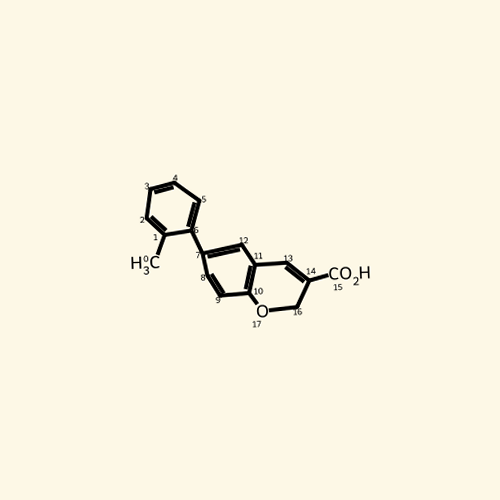 Cc1ccccc1-c1ccc2c(c1)C=C(C(=O)O)CO2